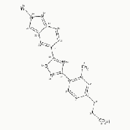 Cc1cc(CCC(=O)O)ccc1-c1noc(-c2ccc3nn(C(C)C)cc3c2)n1